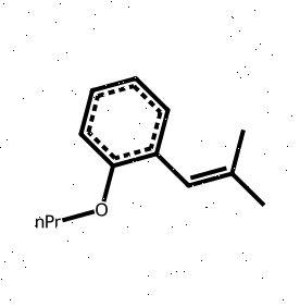 CCCOc1ccccc1C=C(C)C